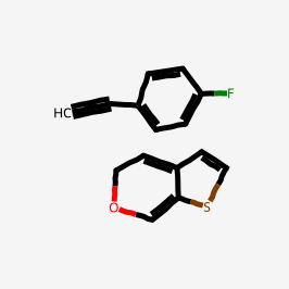 C#Cc1ccc(F)cc1.C1=c2ccsc2=COC1